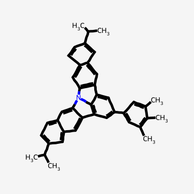 Cc1cc(-c2cc3c4cc5cc(C(C)C)ccc5cc4n4c5cc6ccc(C(C)C)cc6cc5c(c2)c34)cc(C)c1C